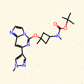 CN(C(=O)OC(C)(C)C)C1CC(C)(Oc2nc(-c3cnn(C)c3)cc3nccn23)C1